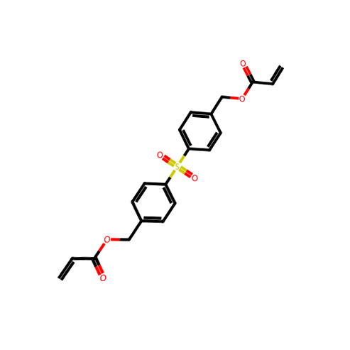 C=CC(=O)OCc1ccc(S(=O)(=O)c2ccc(COC(=O)C=C)cc2)cc1